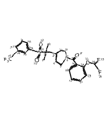 CC(C)(C1CCN(C(=O)c2ccccc2OC(F)F)CC1)S(=O)(=O)c1cccc(C(F)(F)F)c1